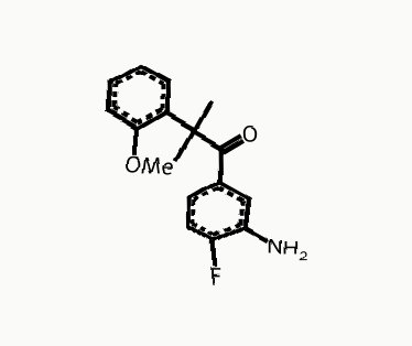 COc1ccccc1C(C)(C)C(=O)c1ccc(F)c(N)c1